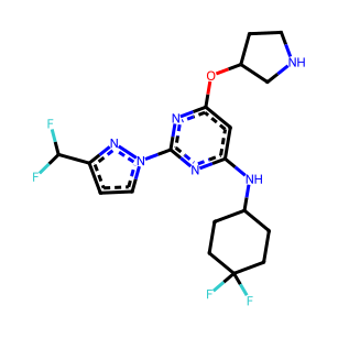 FC(F)c1ccn(-c2nc(NC3CCC(F)(F)CC3)cc(OC3CCNC3)n2)n1